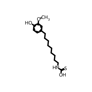 COc1cc(CCCCCCCCCNC(O)=S)ccc1O